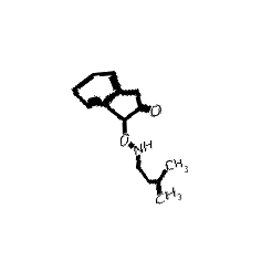 CC(C)CNOC1C(=O)Cc2ccccc21